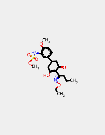 CCC/C(=N\OCC)C1=C(O)CC(c2ccc(OC)c(NS(=O)(=O)OC)c2)CC1=O